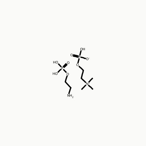 C[N+](C)(C)CCOP(=O)([O-])O.NCCOP(=O)(O)O